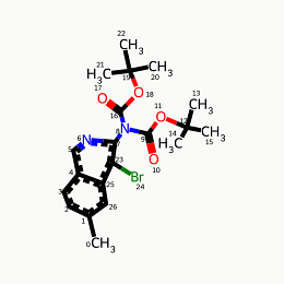 Cc1ccc2cnc(N(C(=O)OC(C)(C)C)C(=O)OC(C)(C)C)c(Br)c2c1